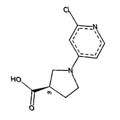 O=C(O)[C@@H]1CCN(c2ccnc(Cl)c2)C1